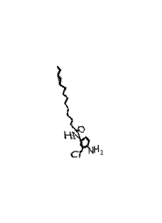 CCCCCCCCCCCCCC(=O)Nc1ccc(N)c(Cl)c1